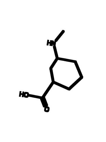 CNC1CCCC(C(=O)O)C1